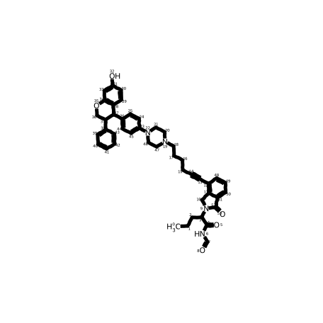 CCCC(C(=O)NC=O)N1Cc2c(C#CCCCCN3CCN(c4ccc(C5c6ccc(O)cc6OCC5c5ccccc5)cc4)CC3)cccc2C1=O